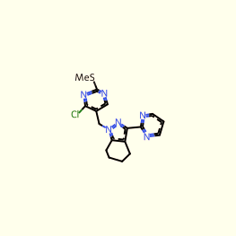 CSc1ncc(Cn2nc(-c3ncccn3)c3c2CCCC3)c(Cl)n1